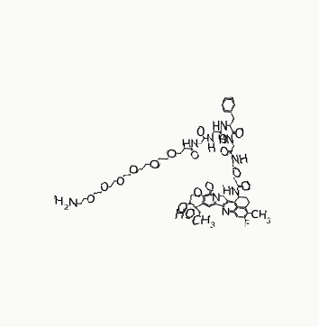 CC[C@@]1(O)C(=O)COc2c1cc1n(c2=O)Cc2c-1nc1cc(F)c(C)c3c1c2[C@@H](NC(=O)COCNC(=O)CNC(=O)[C@H](Cc1ccccc1)NC(=O)CNC(=O)CNC(=O)CCOCCOCCOCCOCCOCCOCCN)CC3